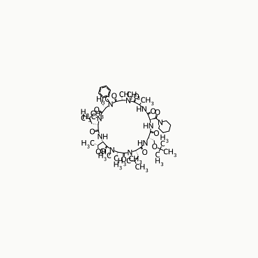 CC(C)C[C@H]1C(=O)N[C@@H](COC(C)(C)C)C(=O)N[C@H](C(=O)N2CCCCC2)C(=O)NC(C)C(=O)N(C)[C@@H](C)C(=O)N(C)[C@@H](Cc2ccccc2)C(=O)N(C)[C@@H](CC(C)C)C(=O)N[C@@H]([C@@H](C)O)C(=O)N(C)[C@@H](C)C(=O)N1C